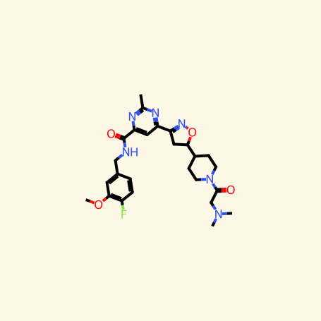 COc1cc(CNC(=O)c2cc(C3=NOC(C4CCN(C(=O)CN(C)C)CC4)C3)nc(C)n2)ccc1F